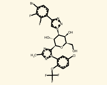 Cc1nc([C@@H]2O[C@H](CO)[C@H](O)[C@H](n3cc(-c4ccc(Br)c(F)c4F)nn3)[C@H]2O)n(-c2cc(Cl)ccc2OC(F)(F)F)n1